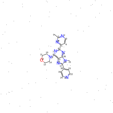 Cc1nccc(-c2nc(N3CCOCC3)c3nc(-c4ccncc4)n(C)c3n2)n1